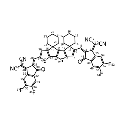 N#CC(C#N)=C1/C(=C/C2=Cc3sc4c(c3C23CCCCC3)C2(CCCCC2)c2cc(/C=C3\C(=O)c5cc(F)c(F)cc5C3=C(C#N)C#N)sc2-4)C(=O)c2cc(F)c(F)cc21